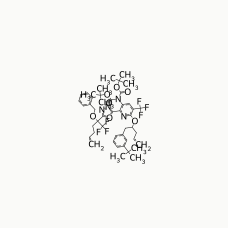 C=CCCC(OCc1ccccc1)(c1nnc(-c2nc(OC(CC=C)Cc3cccc(C(C)(C)C)c3)c(C(F)(F)F)cc2N(C(=O)OC(C)(C)C)C(=O)OC(C)(C)C)o1)C(F)(F)F